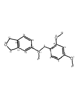 COc1ccc(CN(C)c2ccc3c(c2)COC3)c(OC)c1